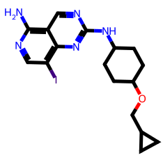 Nc1ncc(I)c2nc(NC3CCC(OCC4CC4)CC3)ncc12